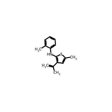 C=C(C)c1cc(C)sc1Nc1ccccc1C